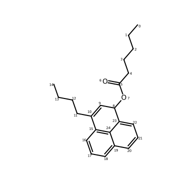 CCCCCC(=O)OC1C=C(CCCC)c2cccc3cccc1c23